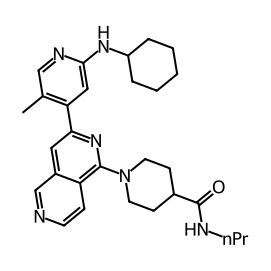 CCCNC(=O)C1CCN(c2nc(-c3cc(NC4CCCCC4)ncc3C)cc3cnccc23)CC1